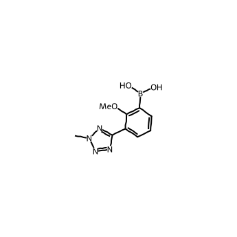 COc1c(B(O)O)cccc1-c1nnn(C)n1